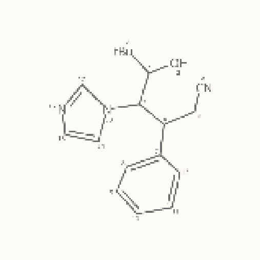 CC(C)(C)C(O)C(C(CC#N)c1ccccc1)n1ccnc1